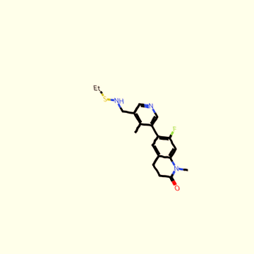 CCSNCc1cncc(-c2cc3c(cc2F)N(C)C(=O)CC3)c1C